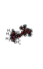 CCOC(=O)C1=C(C)/C(=C(\c2c(C)cc(OC(=O)Cc3ccc(N(C)C(=O)c4cc(-c5cc(C(F)(F)F)cc(C(F)(F)F)c5)c5c6c(c(-c7cc(C(F)(F)F)cc(C(F)(F)F)c7)cc(C=O)c46)-c4ccccc4O5)cc3)cc2C)c2c(C)c(C(=O)OCC)c(C)n2B(F)F)N=C1C